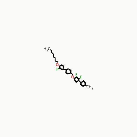 CCCCCCCCOc1ccc(-c2ccc(COc3ccc(-c4ccc(C)cc4)c(F)c3F)cc2)cc1F